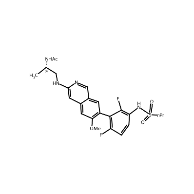 CCCS(=O)(=O)Nc1ccc(F)c(-c2cc3cnc(NC[C@H](C)NC(C)=O)cc3cc2OC)c1F